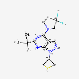 CC(C)(C)c1nc(N2CCC(F)(F)C2)c2cnn(C3CSC3)c2n1